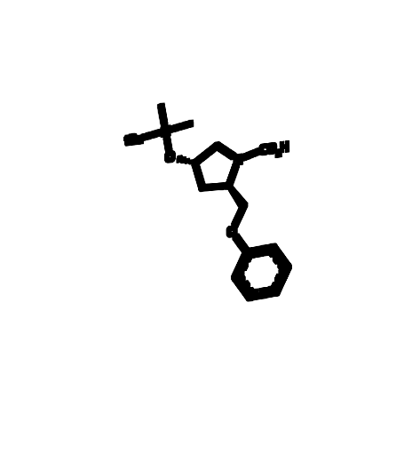 CC(C)(C)[Si](C)(C)O[C@H]1C[C@H](COc2ccccc2)N(C(=O)O)C1